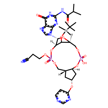 CC(C)C(=O)Nc1nc2c(ncn2[C@@H]2O[C@H]3COP(=O)(O)O[C@H]4C[C@H](Oc5ccncn5)C[C@@H]4COP(=O)(OCCC#N)O[C@@H]2C3O[Si](C)(C)C(C)(C)C)c(=O)[nH]1